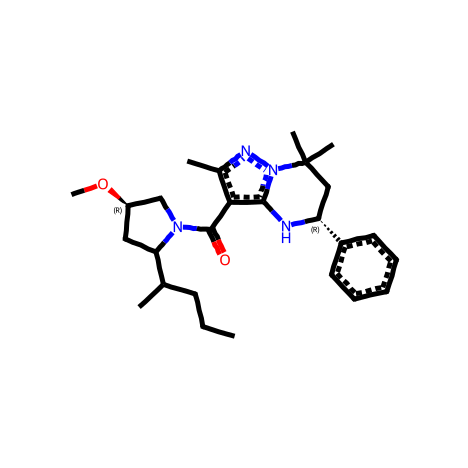 CCCC(C)C1C[C@@H](OC)CN1C(=O)c1c(C)nn2c1N[C@@H](c1ccccc1)CC2(C)C